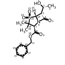 C[C@@H](O)[C@@H]1C(=O)N2[C@@H](C(=O)OCc3ccccc3)C(C)(C)S(=O)(=O)[C@H]12